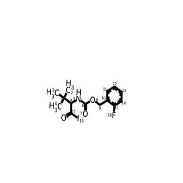 CC(C)(C)C(NC(=O)OCc1ccccc1F)C(=O)I